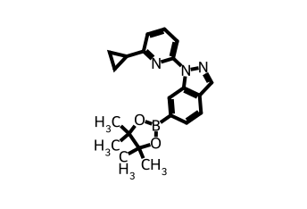 CC1(C)OB(c2ccc3cnn(-c4cccc(C5CC5)n4)c3c2)OC1(C)C